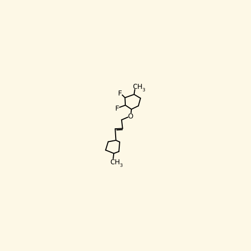 CC1CCC(/C=C/COC2CCC(C)C(F)C2F)CC1